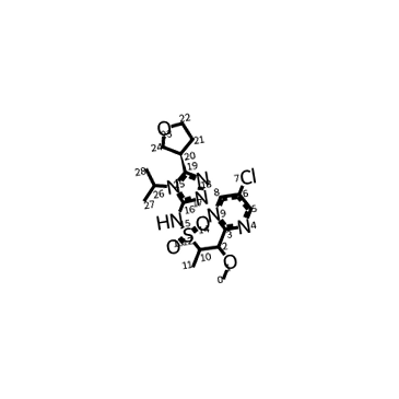 COC(c1ncc(Cl)cn1)C(C)S(=O)(=O)Nc1nnc([C@@H]2CCOC2)n1C(C)C